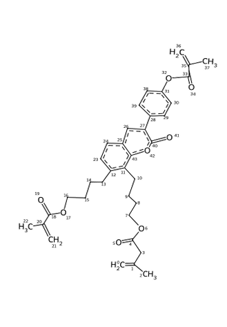 C=C(C)CC(=O)OCCCCc1c(CCCCOC(=O)C(=C)C)ccc2cc(-c3ccc(OC(=O)C(=C)C)cc3)c(=O)oc12